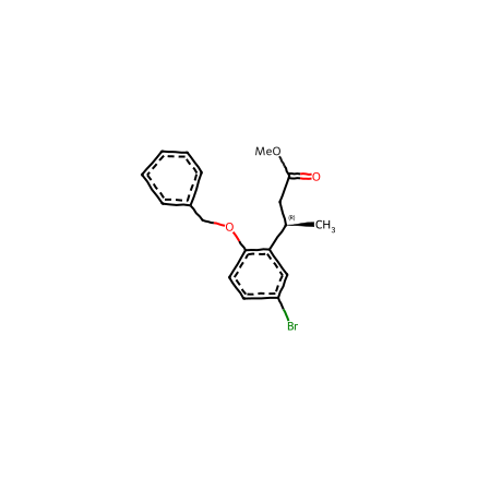 COC(=O)C[C@@H](C)c1cc(Br)ccc1OCc1ccccc1